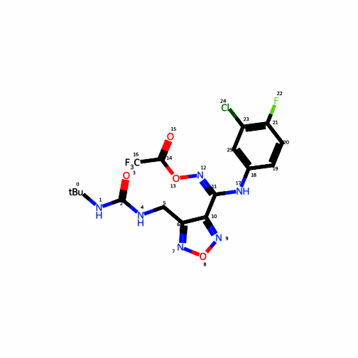 CC(C)(C)NC(=O)NCc1nonc1C(=NOC(=O)C(F)(F)F)Nc1ccc(F)c(Cl)c1